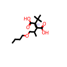 CCCCOCC(C)/C(C(=O)O)=C(\C(=O)O)C(C)(C)C